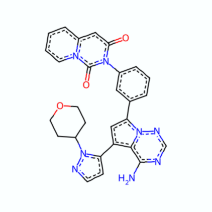 Nc1ncnn2c(-c3cccc(-n4c(=O)cc5ccccn5c4=O)c3)cc(-c3ccnn3C3CCOCC3)c12